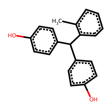 Cc1ccccc1C(c1ccc(O)cc1)c1ccc(O)cc1